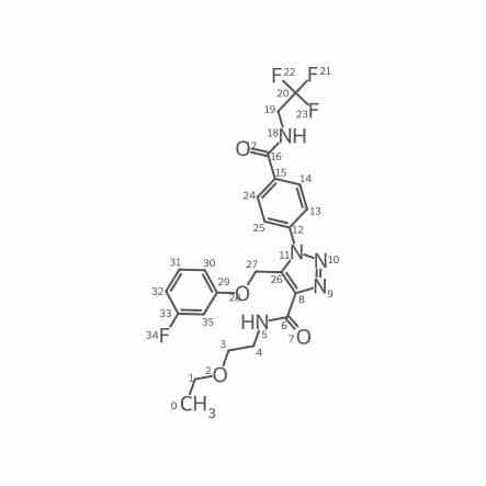 CCOCCNC(=O)c1nnn(-c2ccc(C(=O)NCC(F)(F)F)cc2)c1COc1cccc(F)c1